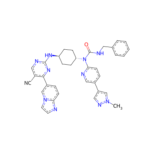 Cn1cc(-c2ccc(N(C(=O)NCc3ccccc3)[C@H]3CC[C@H](Nc4ncc(C#N)c(-c5ccc6nccn6c5)n4)CC3)nc2)cn1